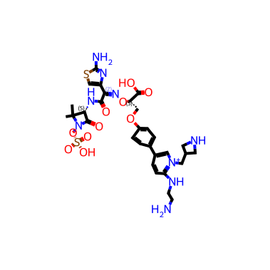 CC1(C)[C@H](NC(=O)/C(=N\O[C@@H](COc2ccc(-c3ccc(NCCN)[n+](CC4CNC4)c3)cc2)C(=O)O)c2csc(N)n2)C(=O)N1OS(=O)(=O)O